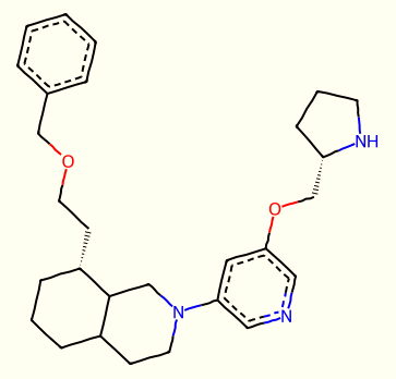 c1ccc(COCC[C@H]2CCCC3CCN(c4cncc(OC[C@@H]5CCCN5)c4)CC32)cc1